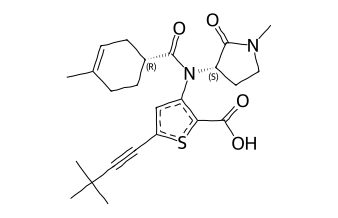 CC1=CC[C@H](C(=O)N(c2cc(C#CC(C)(C)C)sc2C(=O)O)[C@H]2CCN(C)C2=O)CC1